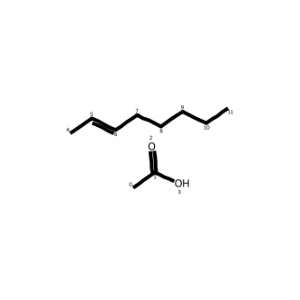 CC(=O)O.CC=CCCCCC